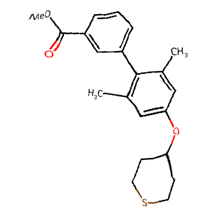 COC(=O)c1cccc(-c2c(C)cc(OC3CCSCC3)cc2C)c1